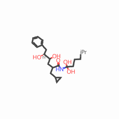 CC(C)CCCC(O)(O)NC(=O)C(CC1CC1)CC(O)[C@@H](O)Cc1ccccc1